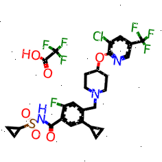 O=C(NS(=O)(=O)C1CC1)c1cc(C2CC2)c(CN2CCC(Oc3ncc(C(F)(F)F)cc3Cl)CC2)cc1F.O=C(O)C(F)(F)F